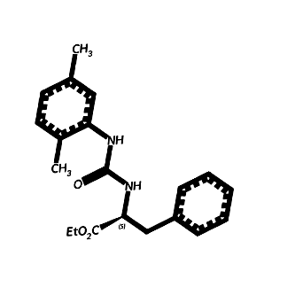 CCOC(=O)[C@H](Cc1ccccc1)NC(=O)Nc1cc(C)ccc1C